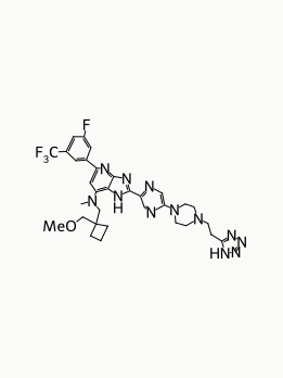 COCC1(CN(C)c2cc(-c3cc(F)cc(C(F)(F)F)c3)nc3nc(-c4cnc(N5CCN(CCc6nnn[nH]6)CC5)cn4)[nH]c23)CCC1